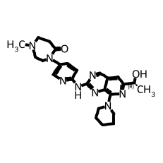 C[C@@H](O)c1cc2cnc(Nc3ccc(N4CCN(C)CCC4=O)cn3)nc2c(N2CCCCC2)n1